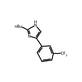 CCCCc1nc(-c2cccc(C(F)(F)F)c2)c[nH]1